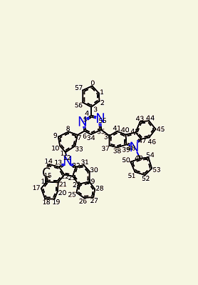 c1ccc(-c2nc(-c3cccc(-n4c5ccc6ccccc6c5c5c6ccccc6ccc54)c3)cc(-c3ccc4c(c3)c3ccccc3n4-c3ccccc3)n2)cc1